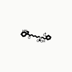 COc1ccccc1CCN(CCCCCC(=O)c1c[nH]c2ccccc12)C(=O)O